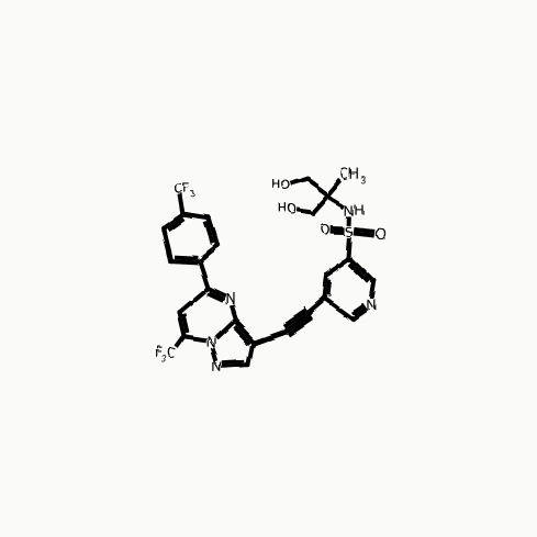 CC(CO)(CO)NS(=O)(=O)c1cncc(C#Cc2cnn3c(C(F)(F)F)cc(-c4ccc(C(F)(F)F)cc4)nc23)c1